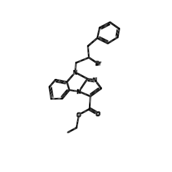 CCOC(=O)c1cnc2n(CC(Br)Cc3ccccc3)c3ccccc3n12